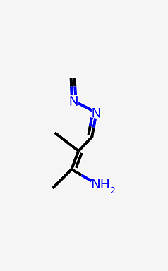 C=N/N=C\C(C)=C(\C)N